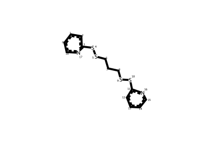 c1ccc(SSCCCSSc2ccccn2)nc1